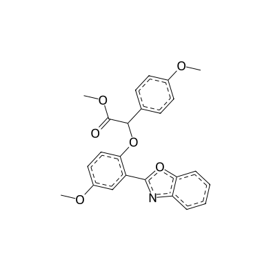 COC(=O)C(Oc1ccc(OC)cc1-c1nc2ccccc2o1)c1ccc(OC)cc1